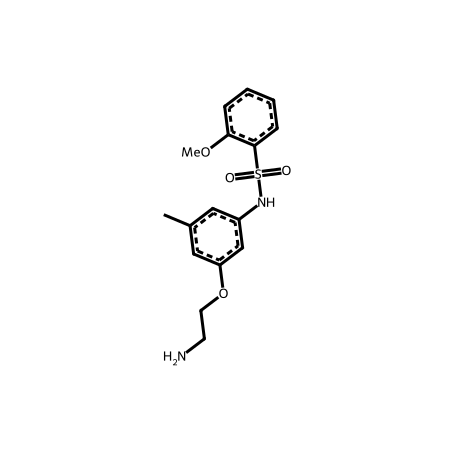 COc1ccccc1S(=O)(=O)Nc1cc(C)cc(OCCN)c1